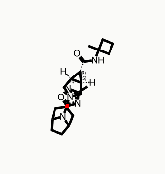 Cc1noc(N2C3CCC2CC(N2C[C@@H]4[C@H](C2)[C@H]4C(=O)NC2(C)CCC2)C3)n1